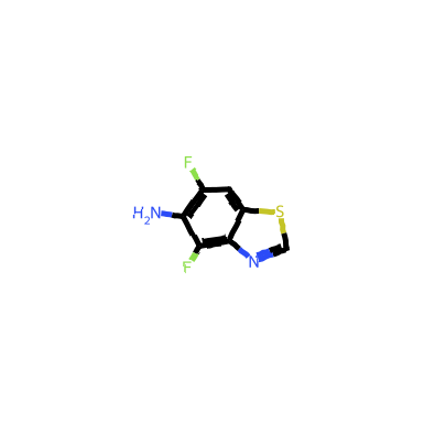 Nc1c(F)cc2scnc2c1F